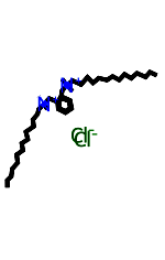 CCCCCCCCCCCCCC[N+](C)(C)Cc1ccccc1C[N+](C)(C)CCCCCCCCCCCCCC.[Cl-].[Cl-]